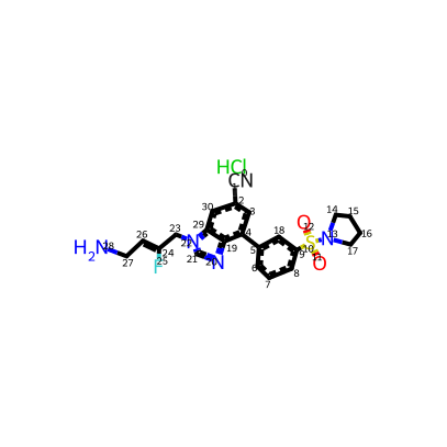 Cl.N#Cc1cc(-c2cccc(S(=O)(=O)N3CCCC3)c2)c2ncn(CC(F)=CCN)c2c1